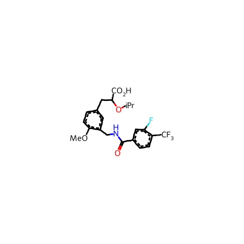 COc1ccc(CC(OC(C)C)C(=O)O)cc1CNC(=O)c1ccc(C(F)(F)F)c(F)c1